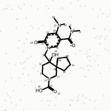 CN(C)C(=O)c1cn(CC2(O)CCN(C(=O)O)CC23CCCC3)c(=O)cc1N(C)C